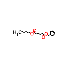 CCCCCCOC(=O)CCCCC(=O)OCc1ccccc1